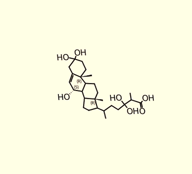 CC(CCC(O)(O)C(C)C(=O)O)C1CCC2C3C(CC[C@]12C)[C@@]1(C)CCC(O)(O)CC1=C[C@H]3O